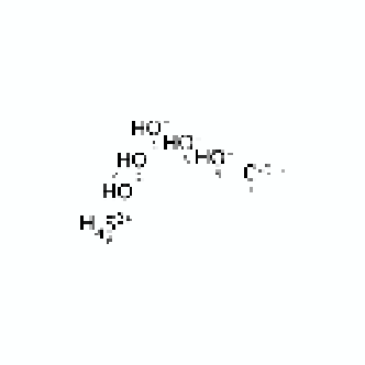 [Cr+3].[OH-].[OH-].[OH-].[OH-].[OH-].[SH4+2]